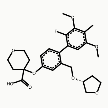 COc1cc(-c2ccc(OC3(C(=O)O)CCOCC3)cc2CO[C@@H]2CCOC2)c(F)c(OC)c1C